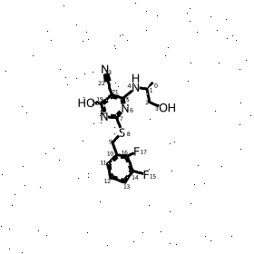 C[C@@H](CO)Nc1nc(SCc2cccc(F)c2F)nc(O)c1C#N